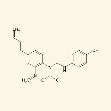 C=CCCc1ccc(N(CNc2ccc(O)cc2)C(C)C)c(N=C)c1